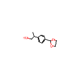 CC(CO)c1ccc(C2OCCO2)cc1